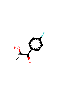 C[C@H](O)C(=O)c1ccc(F)cc1